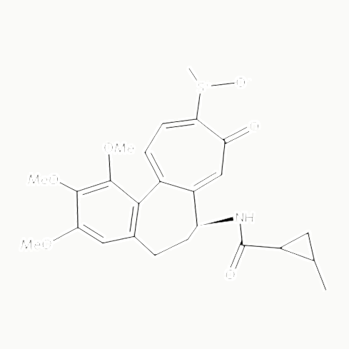 COc1cc2c(c(OC)c1OC)-c1ccc([S+](C)[O-])c(=O)cc1[C@@H](NC(=O)C1CC1C)CC2